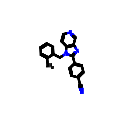 Bc1ccccc1Cn1c(-c2ccc(C#N)cc2)nc2cnccc21